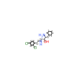 N[C@@H](Cc1ccccc1)[C@H](O)CNCCc1ccc(Cl)cc1Cl